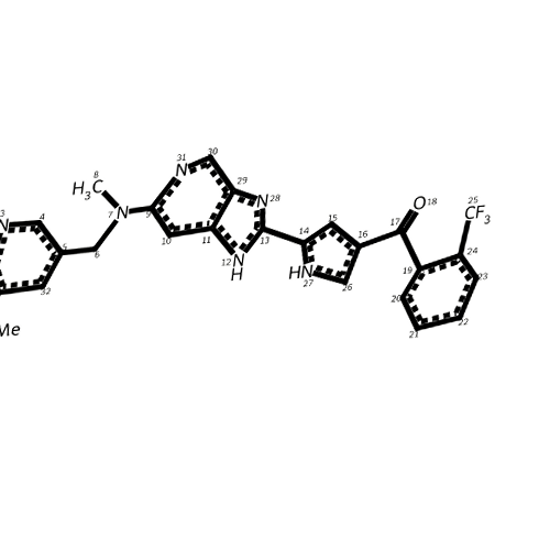 COc1cncc(CN(C)c2cc3[nH]c(-c4cc(C(=O)c5ccccc5C(F)(F)F)c[nH]4)nc3cn2)c1